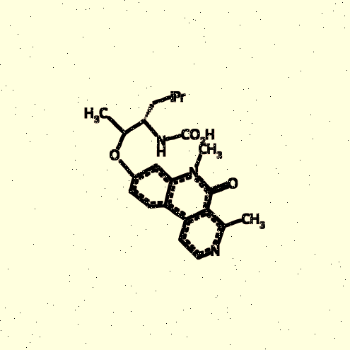 Cc1nccc2c1c(=O)n(C)c1cc(OC(C)[C@H](CC(C)C)NC(=O)O)ccc21